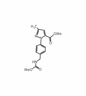 COC(=O)NCc1ccc(-n2nc(C)cc2C(=O)OC)cc1